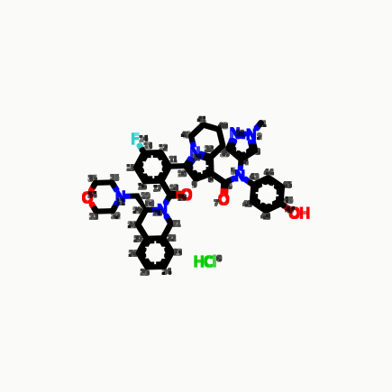 Cl.Cn1cc(N(C(=O)c2cc(-c3cc(F)ccc3C(=O)N3Cc4ccccc4C[C@H]3CN3CCOCC3)n3c2CCCC3)c2ccc(O)cc2)cn1